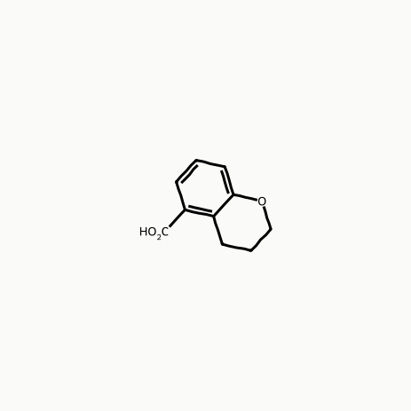 O=C(O)c1cccc2c1CCCO2